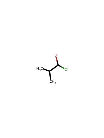 CC(C)C(Cl)Br